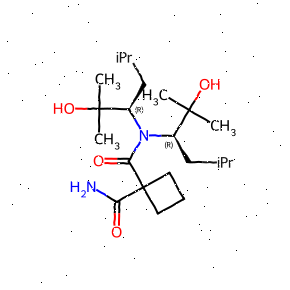 CC(C)C[C@@H](N(C(=O)C1(C(N)=O)CCC1)[C@H](CC(C)C)C(C)(C)O)C(C)(C)O